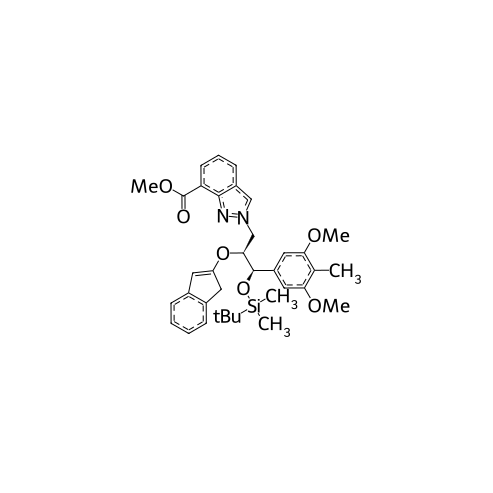 COC(=O)c1cccc2cn(C[C@H](OC3=Cc4ccccc4C3)[C@H](O[Si](C)(C)C(C)(C)C)c3cc(OC)c(C)c(OC)c3)nc12